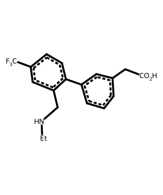 CCNCc1cc(C(F)(F)F)ccc1-c1cccc(CC(=O)O)c1